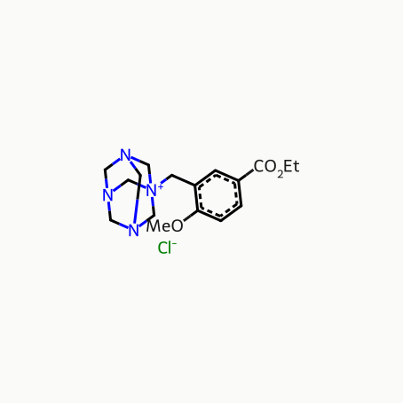 CCOC(=O)c1ccc(OC)c(C[N+]23CN4CN(CN(C4)C2)C3)c1.[Cl-]